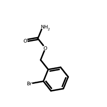 NC(=O)OCc1ccccc1Br